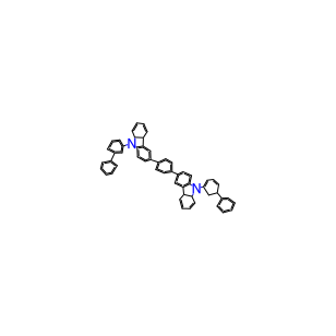 C1=CC(c2ccccc2)CC(N2c3ccc(-c4ccc(-c5ccc6c(c5)C5C=CC=CC5N6c5cccc(-c6ccccc6)c5)cc4)cc3C3C=CC=CC32)=C1